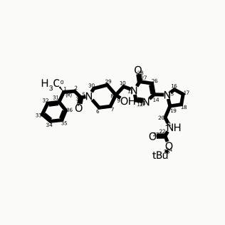 C[C@H](CC(=O)N1CCC(O)(Cn2cnc(N3CCCC3CNC(=O)OC(C)(C)C)cc2=O)CC1)c1ccccc1